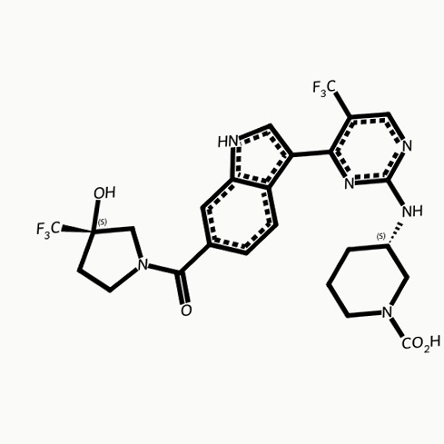 O=C(O)N1CCC[C@H](Nc2ncc(C(F)(F)F)c(-c3c[nH]c4cc(C(=O)N5CC[C@@](O)(C(F)(F)F)C5)ccc34)n2)C1